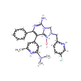 Cc1cc(C2=C(c3ccccc3)N=C(N)N3CN(Cc4ccc(F)cn4)[N+]([O-])=C23)cc(N(C)C)n1